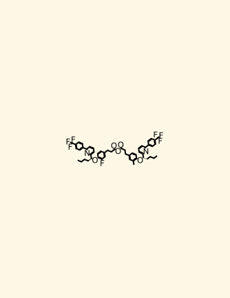 CCCC[C@H](Oc1ccc(CCC(=O)OC(=O)CCc2ccc(O[C@@H](CCCC)c3cccc(-c4ccc(C(F)(F)F)cc4)n3)c(F)c2)cc1C)c1cccc(-c2ccc(C(F)(F)F)cc2)n1